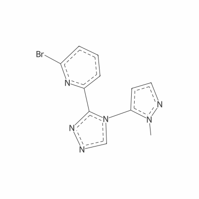 Cn1nccc1-n1cnnc1-c1cccc(Br)n1